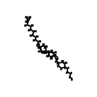 CCCCCC1CCC(COc2ccc(-c3ncc(OCCCCCCCCC4CC4)cn3)cc2)CC1